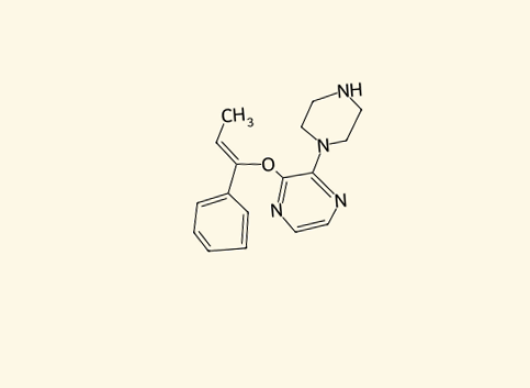 C/C=C(\Oc1nccnc1N1CCNCC1)c1ccccc1